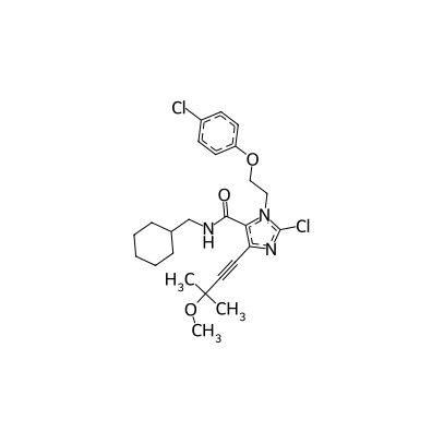 COC(C)(C)C#Cc1nc(Cl)n(CCOc2ccc(Cl)cc2)c1C(=O)NCC1CCCCC1